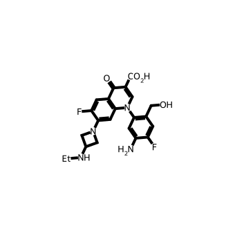 CCNC1CN(c2cc3c(cc2F)c(=O)c(C(=O)O)cn3-c2cc(N)c(F)cc2CO)C1